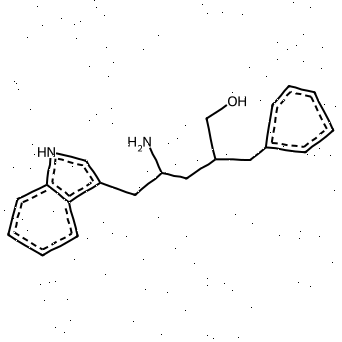 N[C](Cc1c[nH]c2ccccc12)CC(CO)Cc1ccccc1